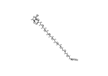 CC(=O)NCCOCCOCCOCCOCCOCCOCCOCCOCCC(=O)ON1C(=O)CCC1=O